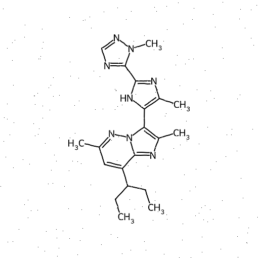 CCC(CC)c1cc(C)nn2c(-c3[nH]c(-c4ncnn4C)nc3C)c(C)nc12